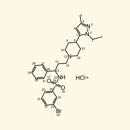 CCn1nc(C)cc1C1CCN(CCC(NS(=O)(=O)c2cccc(Br)c2)c2ccccc2)CC1.Cl